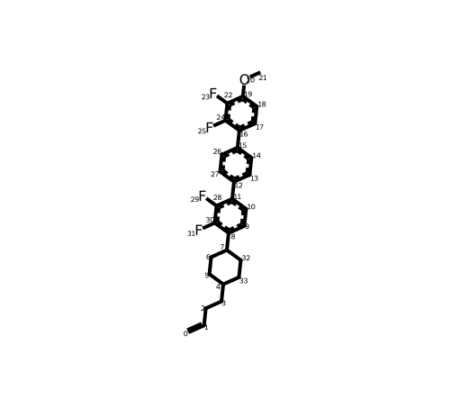 C=CCCC1CCC(c2ccc(-c3ccc(-c4ccc(OC)c(F)c4F)cc3)c(F)c2F)CC1